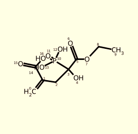 C=C(CC(O)(C(=O)OCC)P(=O)(O)O)C(=O)O